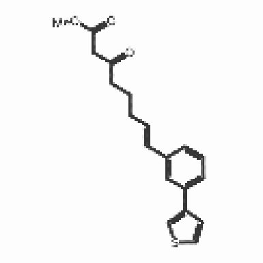 COC(=O)CC(=O)CCCC=Cc1cccc(-c2ccsc2)c1